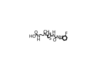 CN(CCNC(=O)O)c1csc(NC(=O)NCc2cccc(F)c2)n1